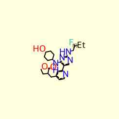 CC[C@H](F)CNc1ncc(-c2cc(CC3CCOC3=O)ccn2)c(NC2CCC(O)CC2)n1